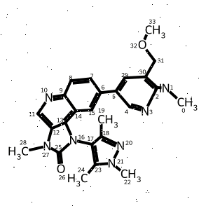 CNc1ncc(-c2ccc3ncc4c(c3c2)n(-c2c(C)nn(C)c2C)c(=O)n4C)cc1COC